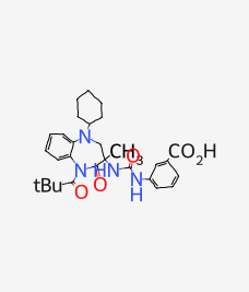 CC(C)(C)C(=O)N1C(=O)C(C)(NC(=O)Nc2cccc(C(=O)O)c2)CN(C2CCCCC2)c2ccccc21